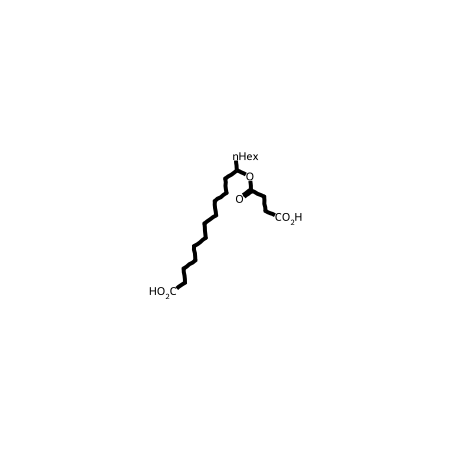 CCCCCCC(CCCCCCCCCCC(=O)O)OC(=O)CCC(=O)O